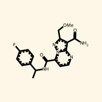 COCc1nn2c(C(=O)NC(C)c3ccc(F)cc3)ccnc2c1C(N)=O